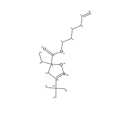 C=CCCCCOC(=O)C1(CC)CC(C(C)(C)C)=NO1